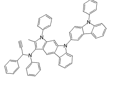 C#CC(c1ccccc1)N(c1ccccc1)c1c(C)n(-c2ccccc2)c2cc3c(cc12)c1ccccc1n3-c1ccc2c(c1)c1ccccc1n2-c1ccccc1